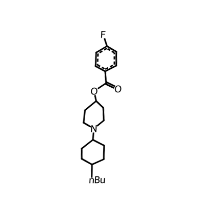 CCCCC1CCC(N2CCC(OC(=O)c3ccc(F)cc3)CC2)CC1